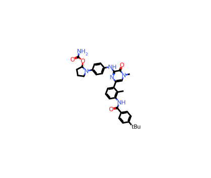 Cc1c(NC(=O)c2ccc(C(C)(C)C)cc2)cccc1-c1cn(C)c(=O)c(Nc2ccc(N3CCCC3OC(N)=O)cc2)n1